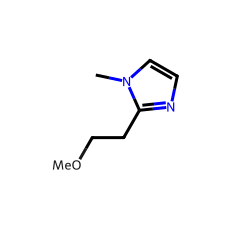 COCCc1nccn1C